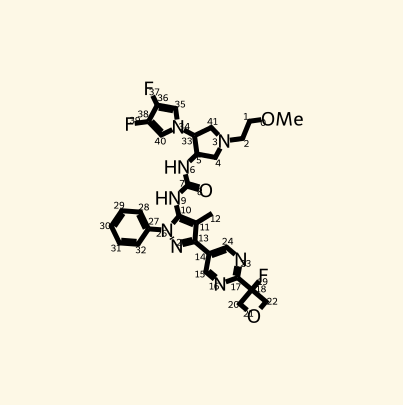 COCCN1CC(NC(=O)Nc2c(C)c(-c3cnc(C4(F)COC4)nc3)nn2-c2ccccc2)C(n2cc(F)c(F)c2)C1